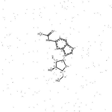 CC(=O)Nc1ncc2ncn([C@@H]3O[C@H](CO)[C@@H](O)[C@@H]3F)c2n1